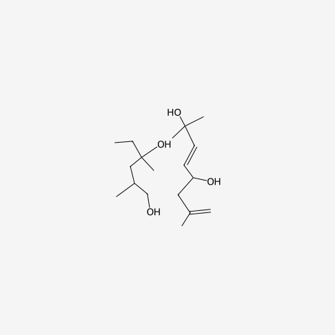 C=C(C)CC(O)/C=C/C(C)(C)O.CCC(C)(O)CC(C)CO